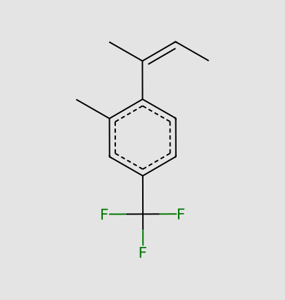 C/C=C(/C)c1ccc(C(F)(F)F)cc1C